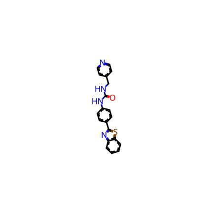 O=C(NCc1ccncc1)Nc1ccc(-c2nc3ccccc3s2)cc1